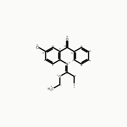 CCOC(CI)=Nc1ccc(Cl)cc1C(=O)c1ccccc1